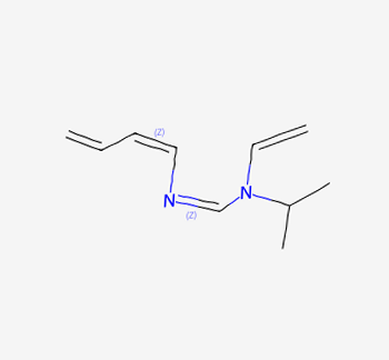 C=C/C=C\N=C/N(C=C)C(C)C